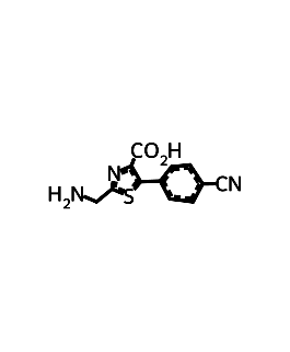 N#Cc1ccc(-c2sc(CN)nc2C(=O)O)cc1